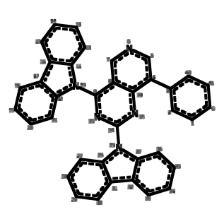 c1ccc(-c2cncc3c(-n4c5ccccc5c5ccccc54)nc(-n4c5ccccc5c5ccccc54)nc23)cc1